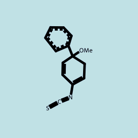 COC1(c2ccccc2)C=CC(N=C=S)=CC1